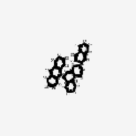 c1ccc2c(c1)ccc1ccccc12.c1ccc2cc3ccccc3cc2c1.c1ccc2ccccc2c1